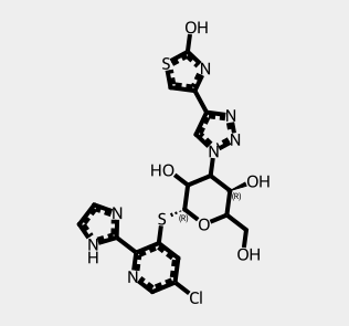 OCC1O[C@H](Sc2cc(Cl)cnc2-c2ncc[nH]2)C(O)C(n2cc(-c3csc(O)n3)nn2)[C@H]1O